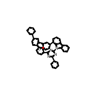 c1ccc(-c2ccc3oc4ccc(-c5cccc6c7ccccc7n(-c7nc(-c8ccccc8)nc(-c8ccccc8)n7)c56)cc4c3c2)cc1